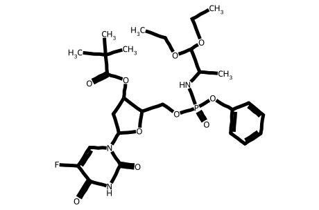 CCOC(OCC)C(C)NP(=O)(OCC1OC(n2cc(F)c(=O)[nH]c2=O)CC1OC(=O)C(C)(C)C)Oc1ccccc1